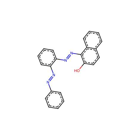 Oc1ccc2ccccc2c1/N=N/c1ccccc1/N=N/c1ccccc1